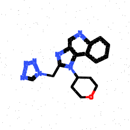 c1ccc2c(c1)ncc1nc(Cn3cnnn3)n(C3CCOCC3)c12